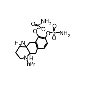 CCCN1CCC[C@]2(N)Cc3c(ccc(OS(N)(=O)=O)c3OS(N)(=O)=O)C[C@@H]12